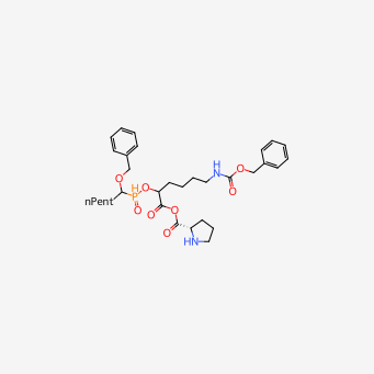 CCCCCC(OCc1ccccc1)[PH](=O)OC(CCCCNC(=O)OCc1ccccc1)C(=O)OC(=O)[C@@H]1CCCN1